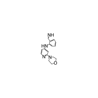 N=Cc1ccccc1Nc1ccnc(N2CCOCC2)c1